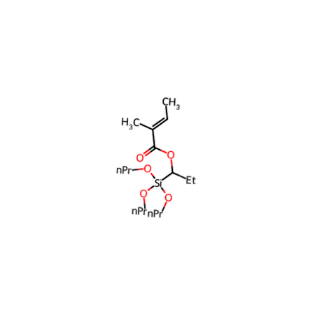 CC=C(C)C(=O)OC(CC)[Si](OCCC)(OCCC)OCCC